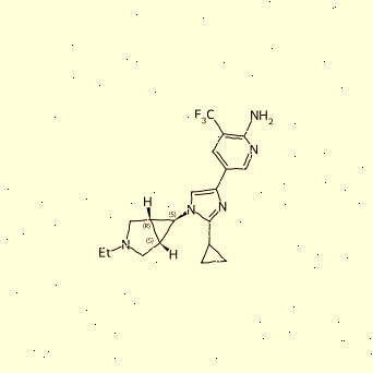 CCN1C[C@@H]2[C@H](C1)[C@H]2n1cc(-c2cnc(N)c(C(F)(F)F)c2)nc1C1CC1